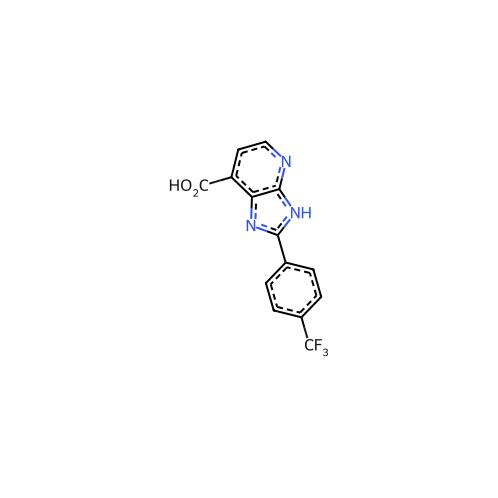 O=C(O)c1ccnc2[nH]c(-c3ccc(C(F)(F)F)cc3)nc12